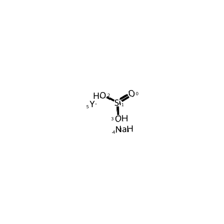 O=[Si](O)O.[NaH].[Y]